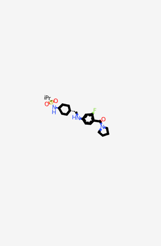 CC(C)S(=O)(=O)N[C@H]1CC[C@H](CNc2ccc(C(=O)N3CCCC3)c(F)c2)CC1